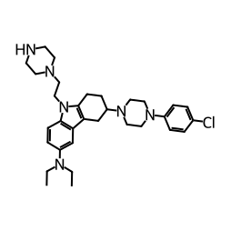 CCN(CC)c1ccc2c(c1)c1c(n2CCN2CCNCC2)CCC(N2CCN(c3ccc(Cl)cc3)CC2)C1